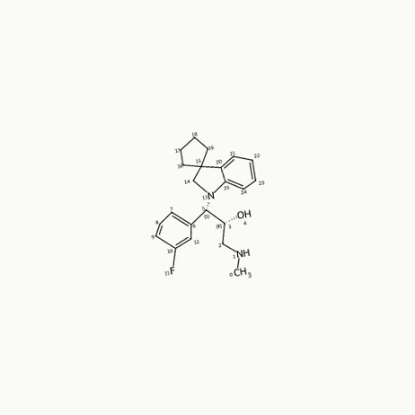 CNC[C@@H](O)[C@H](c1cccc(F)c1)N1CC2(CCCC2)c2ccccc21